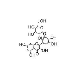 O=c1c(O)c(-c2cc(O)c(O)c(O[C@@H]3OC(CO)[C@@H](O)C(O)C3O)c2)oc2cc(O)cc(O)c12